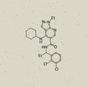 CCC(NC(=O)c1cnc2c(cnn2CC)c1NC1CCCCC1)c1cccc(Cl)c1Cl